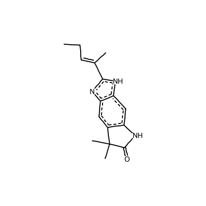 CCC=C(C)c1nc2cc3c(cc2[nH]1)NC(=O)C3(C)C